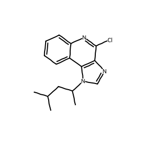 CC(C)CC(C)n1cnc2c(Cl)nc3ccccc3c21